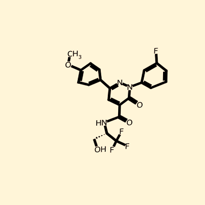 COc1ccc(-c2cc(C(=O)N[C@@H](CO)C(F)(F)F)c(=O)n(-c3cccc(F)c3)n2)cc1